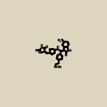 CC(=O)NCCc1ccc(C(Nc2ccc(C=C3NC(=O)NC3=O)cc2)=C2C(=O)Nc3ccc([N+](=O)[O-])cc32)cc1